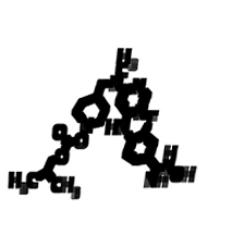 CC(C)COC(=O)ON1CCC(CN(C)c2cc(Nc3ccc(C(=N)NO)cc3F)ncn2)CC1